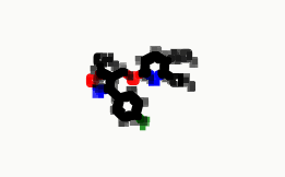 Cc1nc(OCc2c(-c3ccc(F)cc3)noc2C)ccc1[N+](=O)[O-]